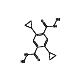 O=C(NO)c1cc(C2CC2)c(C(=O)NO)cc1C1CC1